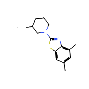 CCOC(=O)C1CCCN(c2nc3c(C)cc(C)cc3s2)C1